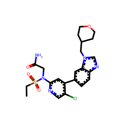 CCS(=O)(=O)N(CC(N)=O)c1cc(-c2ccc3ncn(CC4CCOCC4)c3c2)c(Cl)cn1